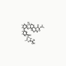 Cc1ccc2c(NC(=O)C3CC3)c(F)ccc2c1Oc1ncccc1-c1ccnc(NC2CCCN(C(=O)O)C2)n1